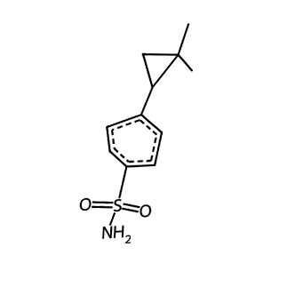 CC1(C)CC1c1ccc(S(N)(=O)=O)cc1